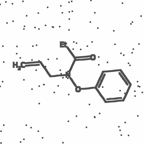 C=CCN(Oc1ccccc1)C(=O)CC